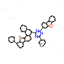 c1ccc(-c2nc(-c3ccc4c(c3)oc3ccccc34)nc(-c3cc4ccccc4c4c3ccc3c5cccc(-c6ccccc6)c5sc34)n2)cc1